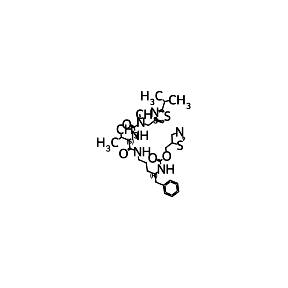 CC(C)c1nc(CN(C)C(=O)N[C@H](C(=O)NCCC[C@H](Cc2ccccc2)NC(=O)OCC2CN=CS2)C(C)C)cs1